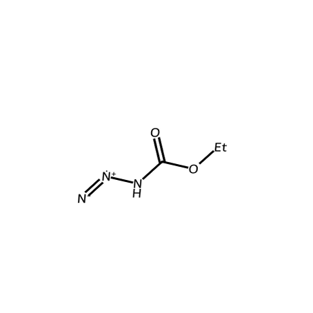 CCOC(=O)N[N+]=[N-]